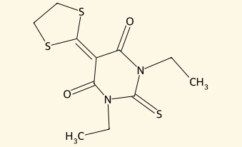 CCN1C(=O)C(=C2SCCS2)C(=O)N(CC)C1=S